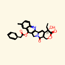 CC[C@@]1(O)C(=O)OCc2c1cc1n(c2=O)Cc2c-1nc1ccc(C)cc1c2OC(=O)Cc1ccccc1